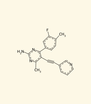 Cc1ccc(-c2nc(N)nc(C)c2C#Cc2cccnc2)cc1F